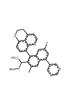 Cc1cc2c(-c3cncnc3)cc(F)cc2c(-c2ccc3c4c(ccnc24)CCO3)c1C(OC(C)(C)C)C(=O)O